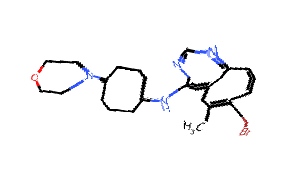 Cc1c(Br)ccc2ncnc(NC3CCC(N4CCOCC4)CC3)c12